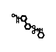 O=CNc1cccc(-c2cccc(OC(=O)NC3CCCCC3)c2)c1